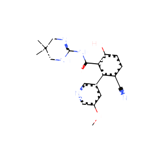 COc1cncc(-c2c(C#N)ccc(O)c2C(=O)NC2=NCC(C)(C)CN2)c1